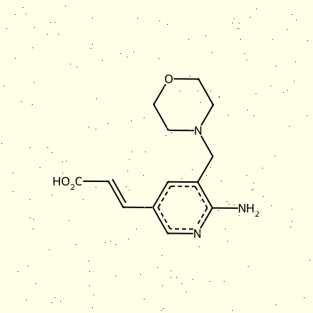 Nc1ncc(C=CC(=O)O)cc1CN1CCOCC1